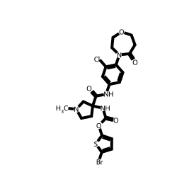 CN1CCC(NC(=O)Oc2ccc(Br)s2)(C(=O)Nc2ccc(N3CCOCCC3=O)c(Cl)c2)C1